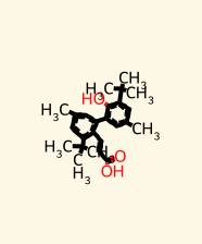 Cc1cc(-c2cc(C)cc(C(C)(C)C)c2C=CC(=O)O)c(O)c(C(C)(C)C)c1